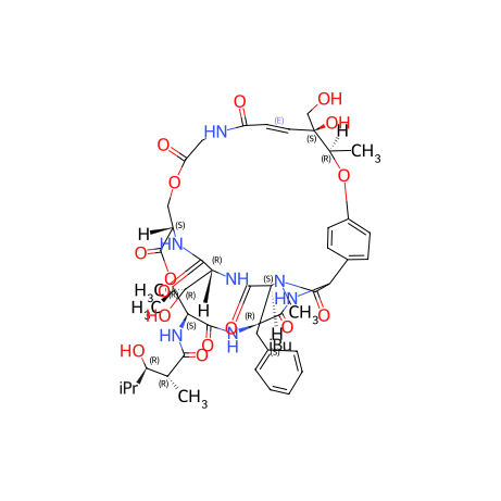 CC[C@H](C)[C@H]1NC(=O)[C@@H](NC(=O)[C@H](C)[C@H](O)C(C)C)[C@@H](C)OC(=O)[C@@H]2COC(=O)CNC(=O)/C=C/[C@](O)(CO)[C@@H](C)Oc3ccc(cc3)C(NC1=O)C(=O)N(C)[C@@H](Cc1ccccc1)C(=O)N[C@H]([C@@H](C)O)C(=O)N2